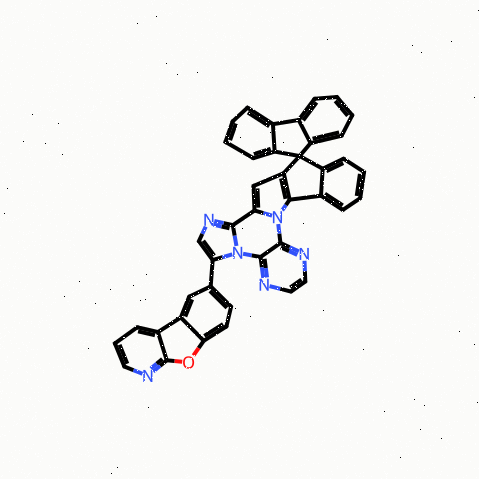 c1ccc2c(c1)-c1ccccc1C21c2ccccc2-c2c1cc1c3ncc(-c4ccc5oc6ncccc6c5c4)n3c3nccnc3n21